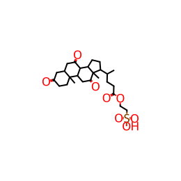 CC(CCC(=O)OCCS(=O)(=O)O)C1CCC2C3C(=O)CC4CC(=O)CCC4(C)C3CC(=O)C12C